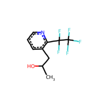 C[C](O)Cc1cccnc1C(F)(F)C(F)(F)F